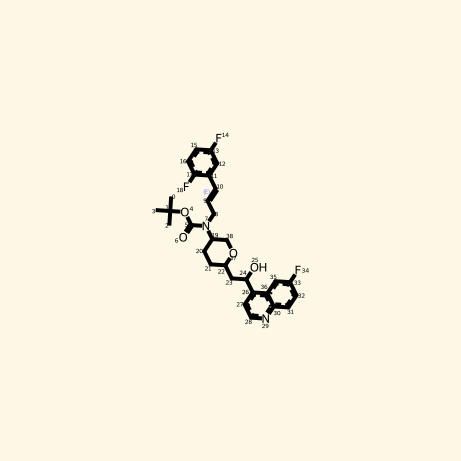 CC(C)(C)OC(=O)N(C/C=C/c1cc(F)ccc1F)C1CCC(CC(O)c2ccnc3ccc(F)cc23)OC1